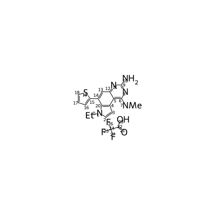 CCn1ccc2c3c(NC)nc(N)nc3cc(-c3cccs3)c21.O=C(O)C(F)(F)F